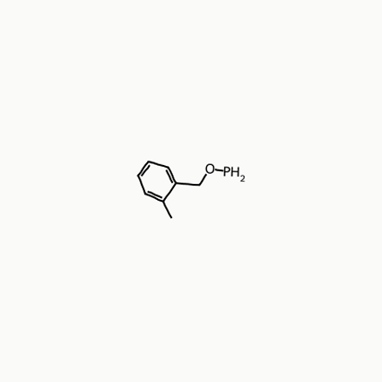 Cc1ccccc1COP